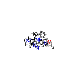 [C-]#[N+]c1ccc([C@@](NC)(c2ccc3c(c2)c(-c2cccc(C#C)c2)cc(=O)n3C)c2cncn2C)cc1